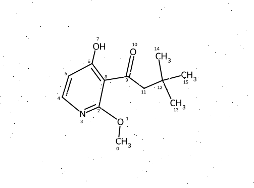 COc1nccc(O)c1C(=O)CC(C)(C)C